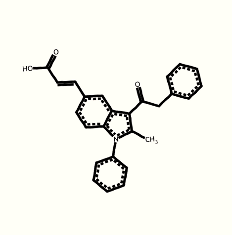 Cc1c(C(=O)Cc2ccccc2)c2cc(/C=C/C(=O)O)ccc2n1-c1ccccc1